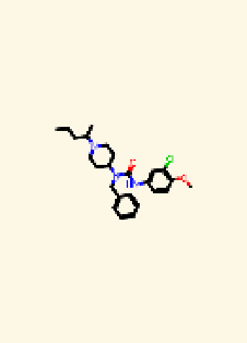 CCCC(C)N1CCC(N(Cc2ccccc2)C(=O)Nc2ccc(OC)c(Cl)c2)CC1